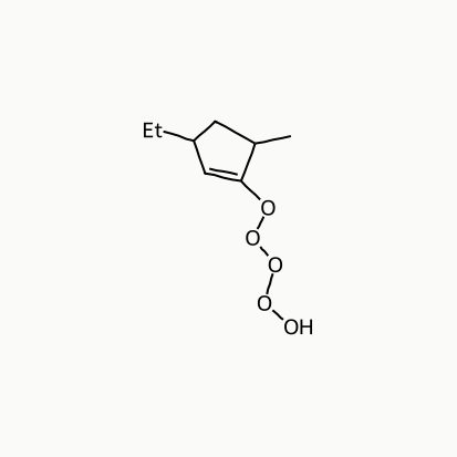 CCC1C=C(OOOOO)C(C)C1